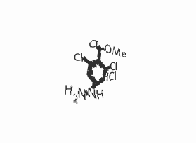 COC(=O)c1c(Cl)cc(NN)cc1Cl.Cl